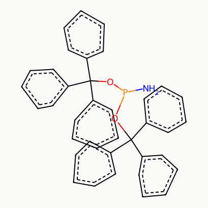 NP(OC(c1ccccc1)(c1ccccc1)c1ccccc1)OC(c1ccccc1)(c1ccccc1)c1ccccc1